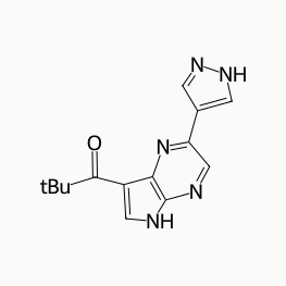 CC(C)(C)C(=O)c1c[nH]c2ncc(-c3cn[nH]c3)nc12